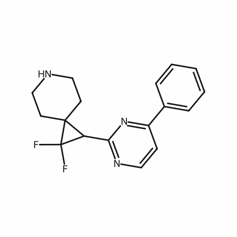 FC1(F)C(c2nccc(-c3ccccc3)n2)C12CCNCC2